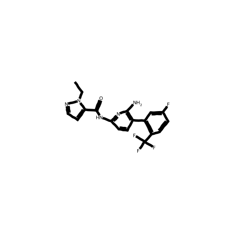 CCn1nccc1C(=O)Nc1ccc(-c2cc(F)ccc2C(F)(F)F)c(N)n1